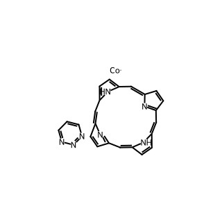 C1=Cc2cc3ccc(cc4nc(cc5ccc(cc1n2)[nH]5)C=C4)[nH]3.[Co].c1cnnnc1